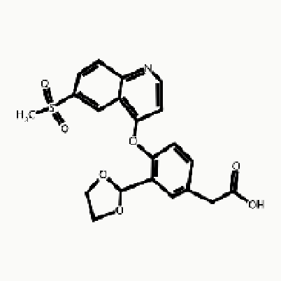 CS(=O)(=O)c1ccc2nccc(Oc3ccc(CC(=O)O)cc3C3OCCO3)c2c1